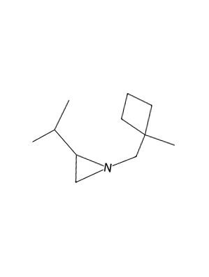 CC(C)C1CN1CC1(C)CCC1